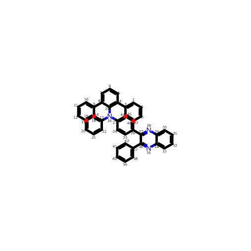 c1ccc(-c2cccc(-c3ccccc3)c2N(c2ccccc2)c2ccc(-c3nc4ccccc4nc3-c3ccccc3)cc2)cc1